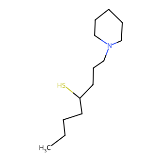 CCCCC(S)CCCN1CCCCC1